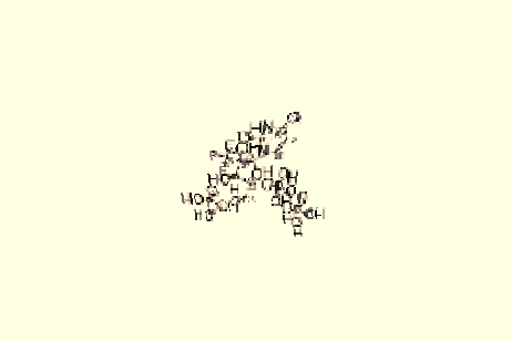 O=P(O)(O)O.O=P(O)(O)O.O=P(O)(O)O.O=c1ccn([C@@H]2O[C@H](CO)[C@@H](O)[C@]2(O)C(F)(F)F)c(=O)[nH]1